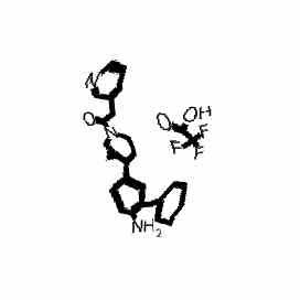 Nc1ccc(C2CCN(C(=O)Cc3cccnc3)CC2)cc1C1=CCCCC1.O=C(O)C(F)(F)F